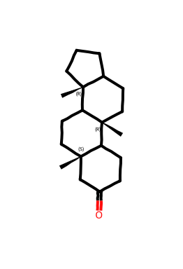 C[C@@]12CCC3[C@]4(C)CCCC4CC[C@]3(C)C1CCC(=O)C2